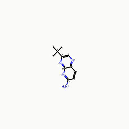 CC(C)(C)c1cnc2ccc(N)nc2n1